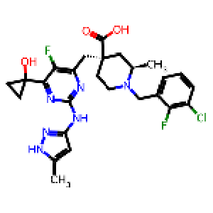 Cc1cc(Nc2nc(C[C@@]3(C(=O)O)CCN(Cc4cccc(Cl)c4F)[C@H](C)C3)c(F)c(C3(O)CC3)n2)n[nH]1